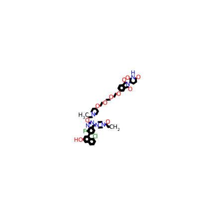 C=CC(=O)N1CCN(c2nc(OC(C)CN3CCC(OCCOCCOCCOc4ccc5c(c4)C(=O)N(C4CCC(=O)NC4=O)C5=O)CC3)nc3c(F)c(-c4cc(O)cc5ccccc45)c(Cl)cc23)CC1